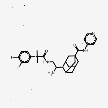 CC(C)(C(=O)NCC(N)C1C2CC3CC1CC(C(=O)Nc1ccncc1)(C3)C2)c1ccc(F)c(F)c1